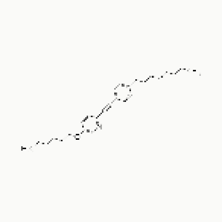 CCCCCCCCc1ccc(C#Cc2ccc(OCCCCCC)cn2)cc1